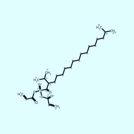 C=CC(=O)[O][Ti](=[O])([O]C(=O)C=C)[C](=O)C(CCCCCCCCCCCCCC(C)C)C(C)C